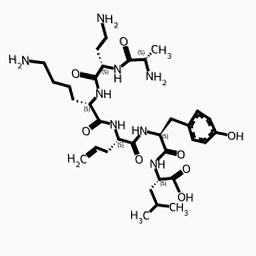 C=CC[C@H](NC(=O)[C@H](CCCCN)NC(=O)[C@H](CCN)NC(=O)[C@H](C)N)C(=O)N[C@@H](Cc1ccc(O)cc1)C(=O)N[C@@H](CC(C)C)C(=O)O